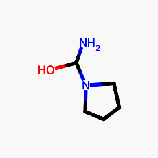 NC(O)N1CCCC1